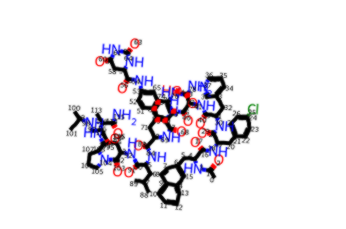 CC(=O)NC(Cc1ccc2ccccc2c1)C(=O)NC(Cc1ccc(Cl)cc1)C(=O)NC(Cc1cccnc1)C(=O)NC(CO)C(=O)NC(Cc1ccc(NC(=O)C2CC(=O)NC(=O)N2)cc1)C(=O)NC(Cc1ccc(NC(N)=O)cc1)C(=O)NC(CC(C)C)C(=O)NC(CCCCNC(C)C)C(=O)N1CCCC1C(=O)NC(C)C(N)=O